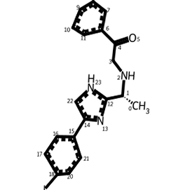 C[C@@H](NCC(=O)c1ccccc1)c1nc(-c2ccc(I)cc2)c[nH]1